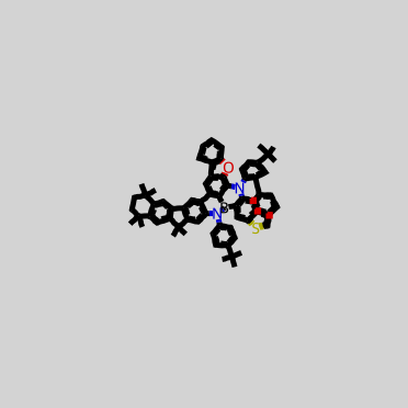 CC(C)(C)c1ccc(N2B3c4cc5sccc5cc4N(c4ccc(C(C)(C)C)cc4-c4ccccc4)c4c3c(cc3c4oc4ccccc43)-c3cc4c(cc32)C(C)(C)c2cc3c(cc2-4)C(C)(C)CCC3(C)C)cc1